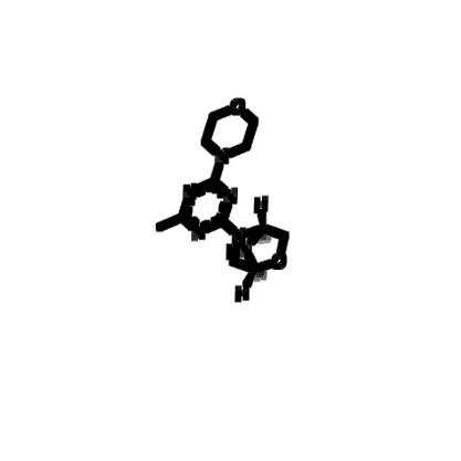 Cc1nc(N2CCOCC2)nc(N2C[C@@H]3N[C@H]2CO3)n1